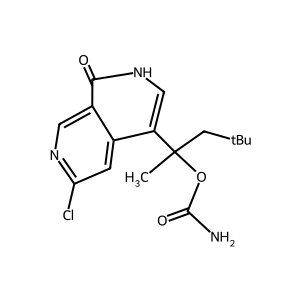 CC(C)(C)CC(C)(OC(N)=O)c1c[nH]c(=O)c2cnc(Cl)cc12